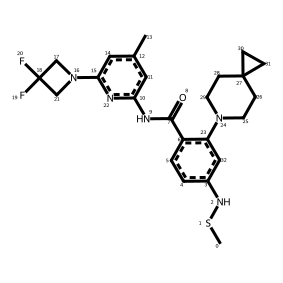 CSNc1ccc(C(=O)Nc2cc(C)cc(N3CC(F)(F)C3)n2)c(N2CCC3(CC2)CC3)c1